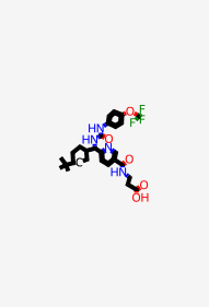 CC(C)(C)C1CCC(C(NC(=O)Nc2ccc(OC(F)(F)F)cc2)c2ccc(C(=O)NCCC(=O)O)cn2)CC1